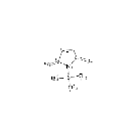 CC(C)(C)[Si](C)(C)N1C(=O)C=CC1=O